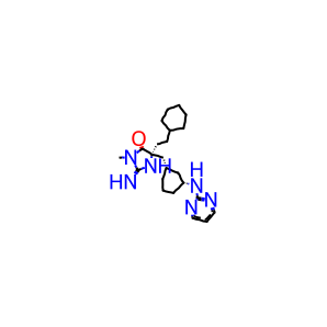 CN1C(=N)N[C@](CCC2CCCCC2)(C[C@H]2CCC[C@@H](Nc3ncccn3)C2)C1=O